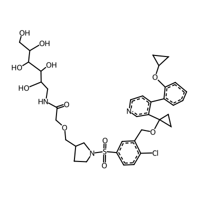 O=C(COCC1CCN(S(=O)(=O)c2ccc(Cl)c(COC3(c4cnccc4-c4ccccc4OC4CC4)CC3)c2)C1)NCC(O)C(O)C(O)C(O)CO